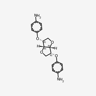 Nc1ccc(O[C@@H]2CO[C@H]3[C@@H]2OC[C@H]3Oc2ccc(N)cc2)cc1